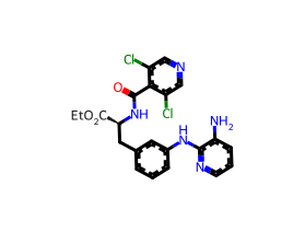 CCOC(=O)[C@H](Cc1cccc(Nc2ncccc2N)c1)NC(=O)c1c(Cl)cncc1Cl